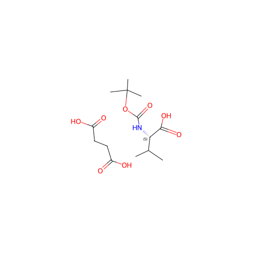 CC(C)[C@H](NC(=O)OC(C)(C)C)C(=O)O.O=C(O)CCC(=O)O